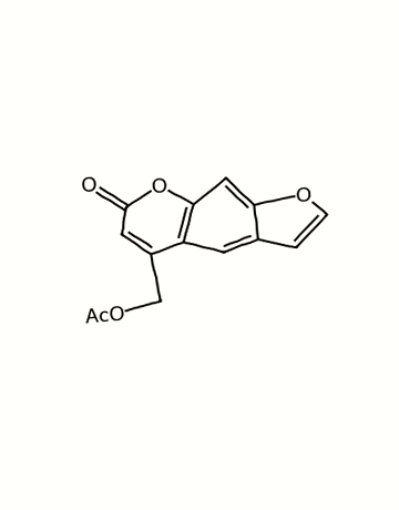 CC(=O)OCc1cc(=O)oc2cc3occc3cc12